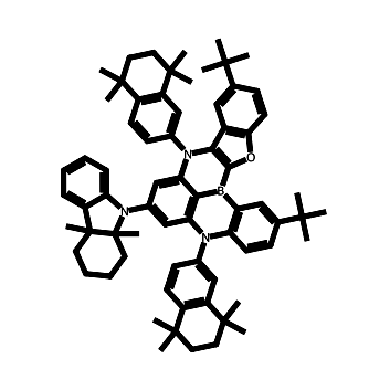 CC(C)(C)c1ccc2c(c1)B1c3oc4ccc(C(C)(C)C)cc4c3N(c3ccc4c(c3)C(C)(C)CCC4(C)C)c3cc(N4c5ccccc5C5(C)CCCCC45C)cc(c31)N2c1ccc2c(c1)C(C)(C)CCC2(C)C